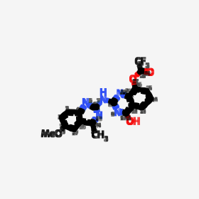 COc1ccc2nc(Nc3nc(O)c4cccc(OC(=O)C(F)(F)F)c4n3)nc(C)c2c1